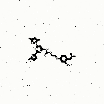 COc1cc(OCCOC(=O)Nc2cc(-n3nc(C)cc3C)nc(-c3ccc(C)o3)n2)ccc1CN(C)C